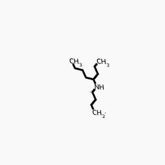 [CH2]CC[CH]NC(CCC)CCCC